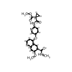 CNC(=O)c1cc2c(Oc3ccc(NC(=O)C4(C(=O)OC)CC4)nc3)ccnc2cc1OC